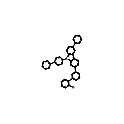 Brc1ccccc1-c1cccc(-c2ccc3c4cc(-c5ccccc5)ccc4n(-c4ccc(-c5ccccc5)cc4)c3c2)c1